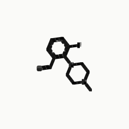 CN1CCN(c2c(F)cccc2C=O)CC1